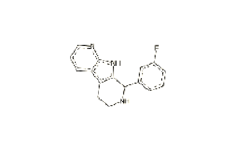 Fc1cccc(C2NCCc3c2[nH]c2ncccc32)c1